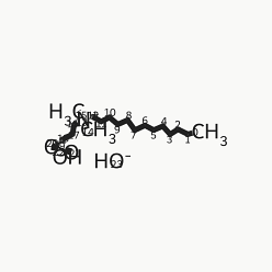 CCCCCCCCCCCCC[N+](C)(C)CCCS(=O)(=O)O.[OH-]